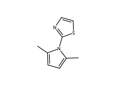 Cc1ccc(C)n1-c1nccs1